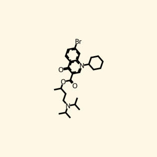 CC(CCN(C(C)C)C(C)C)OC(=O)c1cn(C2CCCCC2)c2cc(Br)ccc2c1=O